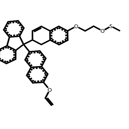 C=COc1ccc2cc(C3(C4C=Cc5cc(OCCOSC)ccc5C4)c4ccccc4-c4ccccc43)ccc2c1